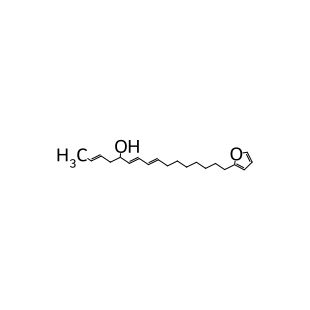 CC=CCC(O)C=CC=CCCCCCCCc1ccco1